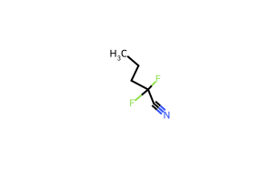 CCCC(F)(F)C#N